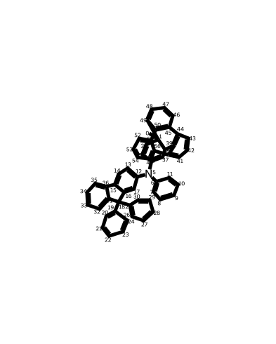 CC12C=CC(N(c3ccccc3)c3ccc4c(c3)C(c3ccccc3)(c3ccccc3)c3ccccc3-4)=CC1c1c3cccc1-c1cccc2c1-c1ccccc1-3